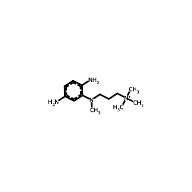 CN(CCC[N+](C)(C)C)c1cc(N)ccc1N